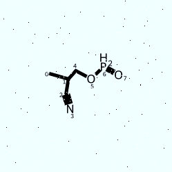 CC(C#N)CO[PH2]=O